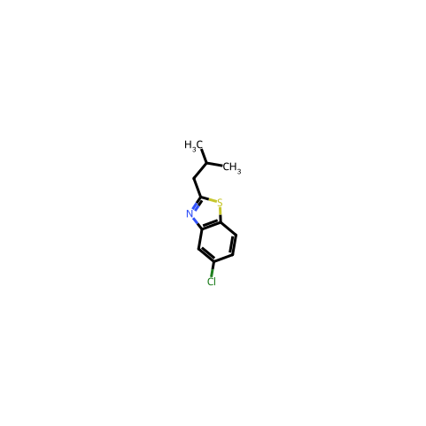 CC(C)Cc1nc2cc(Cl)ccc2s1